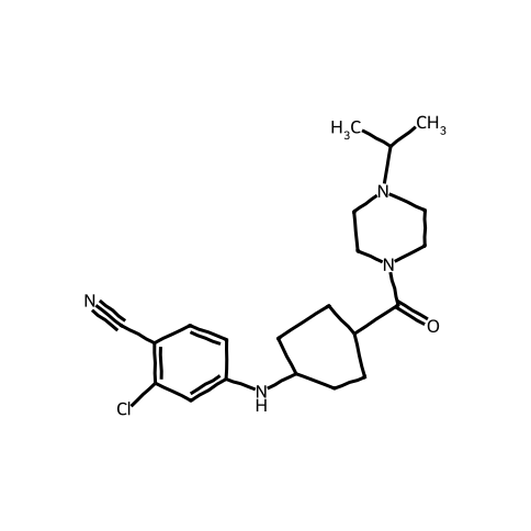 CC(C)N1CCN(C(=O)C2CCC(Nc3ccc(C#N)c(Cl)c3)CC2)CC1